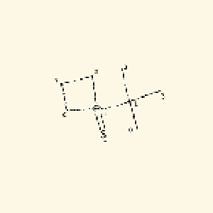 CC(C)(C)P1(=S)CCC1